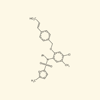 Cc1ccc(S(=O)(=O)N(c2cc(C)c(Cl)cc2OCc2ccc(C=CC(=O)O)cc2)C(C)C)o1